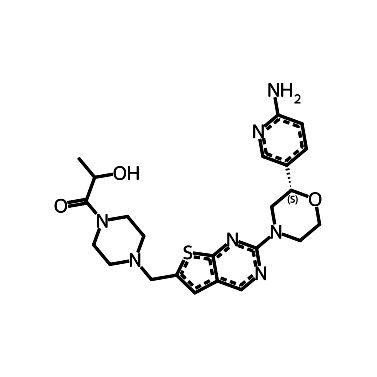 CC(O)C(=O)N1CCN(Cc2cc3cnc(N4CCO[C@@H](c5ccc(N)nc5)C4)nc3s2)CC1